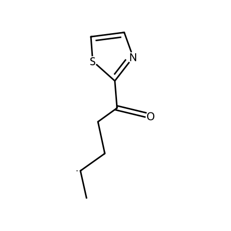 C[CH]CCC(=O)c1nccs1